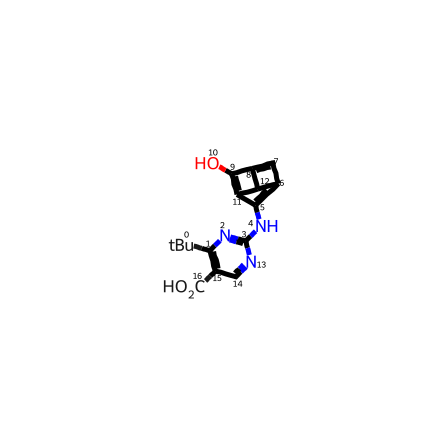 CC(C)(C)c1nc(NC2=C3C=C4C(O)=C2C43)ncc1C(=O)O